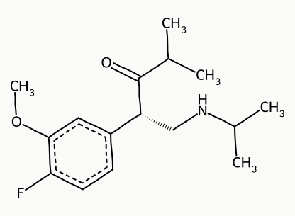 COc1cc([C@@H](CNC(C)C)C(=O)C(C)C)ccc1F